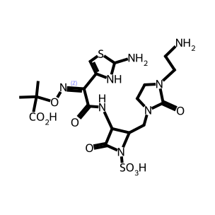 CC(C)(O/N=C(\C(=O)NC1C(=O)N(S(=O)(=O)O)C1CN1CCN(CCN)C1=O)C1=CSC(N)N1)C(=O)O